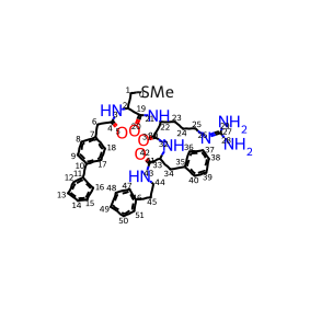 CSCC(NC(=O)Cc1ccc(-c2ccccc2)cc1)C(=O)NC(CCCN=C(N)N)C(=O)NC(Cc1ccccc1)C(=O)NCCc1ccccc1